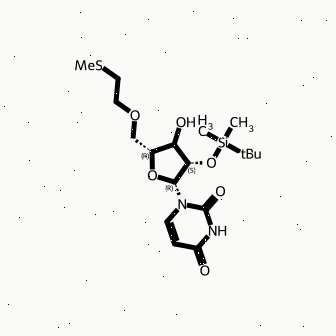 CSCCOC[C@H]1O[C@@H](n2ccc(=O)[nH]c2=O)[C@@H](O[Si](C)(C)C(C)(C)C)C1O